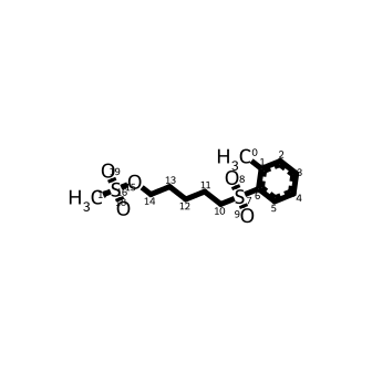 Cc1ccccc1S(=O)(=O)CCCCCOS(C)(=O)=O